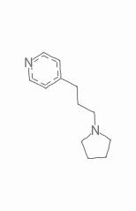 c1cc(CCCN2CCCC2)ccn1